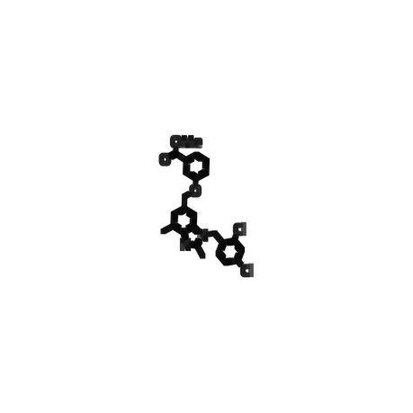 COC(=O)c1cccc(OCc2cc(C)c3nc(C)n(Cc4ccc(Cl)cc4Cl)c3c2)c1